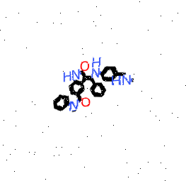 CNCc1ccc(N/C(=C2\C(=O)Nc3ccc(C(=O)N(C)c4ccccc4)cc32)c2ccccc2)cc1